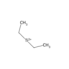 C[CH2][Ti+2][CH2]C